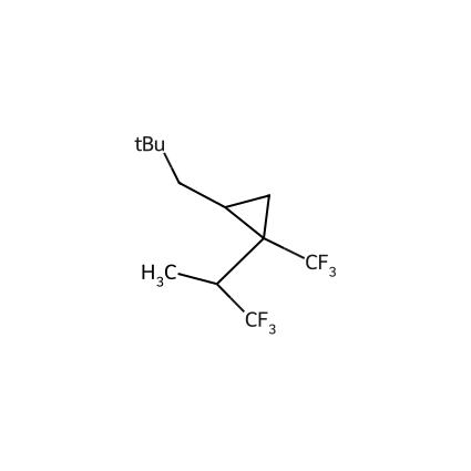 CC(C(F)(F)F)C1(C(F)(F)F)CC1CC(C)(C)C